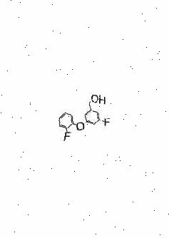 OCc1cc(F)cc(Oc2ccccc2F)c1